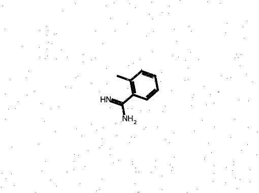 Cc1[c]cccc1C(=N)N